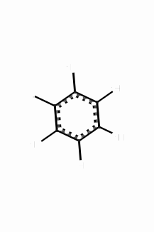 [2H]c1c([2H])c([2H])c(I)c([2H])c1[2H]